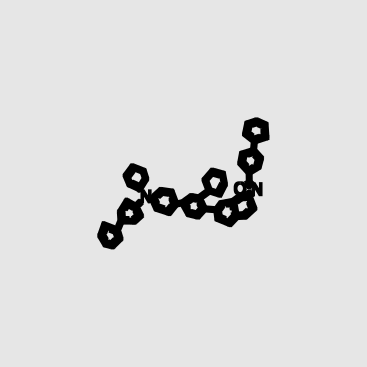 C1=CCCC(N(c2ccc(-c3ccccc3)cc2)c2ccc(-c3ccc(-c4ccc5ccc6nc(-c7ccc(-c8ccccc8)cc7)oc6c5c4)c(C4C=CC=CC4)c3)cc2)=C1